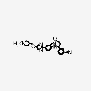 CN1CCC(COc2cnc(-c3cccc(CN4NC(c5cccc(C#N)c5)CCC4=O)c3)nc2)CC1